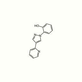 Oc1ccccc1-n1cc(-c2ccccn2)cn1